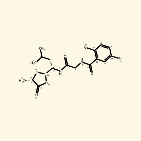 CC(C)C[C@H](NC(=O)CNC(=O)c1cc(Br)ccc1Br)B1OC(=O)[C@H](C)O1